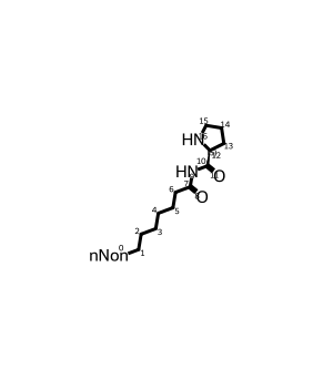 CCCCCCCCCCCCCCCC(=O)NC(=O)[C@@H]1CCCN1